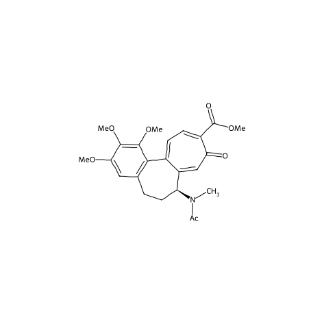 COC(=O)c1ccc2c(cc1=O)[C@@H](N(C)C(C)=O)CCc1cc(OC)c(OC)c(OC)c1-2